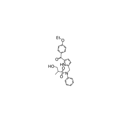 CCOc1ccc(C(=O)c2ccc(CN(c3ccccc3)S(=O)(=O)C(C)CO)[nH]2)cc1